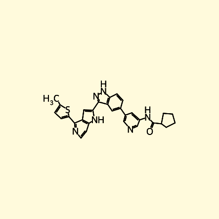 Cc1ccc(-c2nccc3[nH]c(-c4n[nH]c5ccc(-c6cncc(NC(=O)C7CCCC7)c6)cc45)cc23)s1